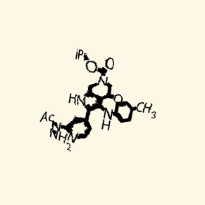 CC(=O)N(N)c1cc(-c2[nH]c3c(c2NC2=CCC(C)C=C2)C(=O)CN(C(=O)OC(C)C)C3)ccn1